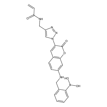 C=CC(=O)NCc1cn(-c2cc3ccc(NCc4ccccc4B(O)O)cc3oc2=O)nn1